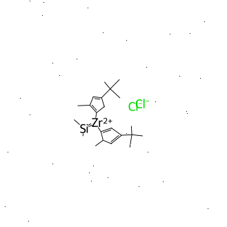 CC1=[C]([Zr+2]([C]2=CC(C(C)(C)C)=CC2C)=[Si](C)C)CC(C(C)(C)C)=C1.[Cl-].[Cl-]